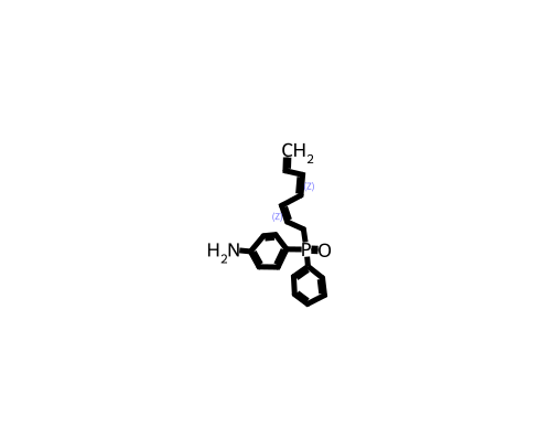 C=C/C=C\C=C/CP(=O)(c1ccccc1)c1ccc(N)cc1